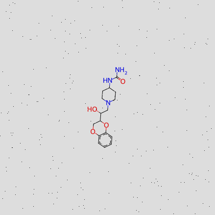 NC(=O)NC1CCN(CC(O)C2COc3ccccc3O2)CC1